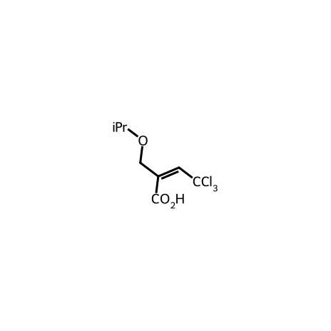 CC(C)OCC(=CC(Cl)(Cl)Cl)C(=O)O